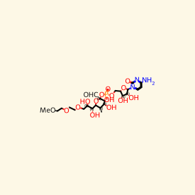 COCCOCCOC[C@@H](O)[C@@H](O)C1O[C@@](C=O)(OP(=O)(O)OCC2OC(n3ccc(N)nc3=O)[C@H](O)[C@@H]2O)C[C@@H](O)[C@H]1C